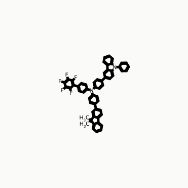 CC1(C)c2ccccc2-c2ccc(-c3ccc(N(c4ccc(-c5ccc6c(c5)c5ccccc5n6-c5ccccc5)cc4)c4ccc(-c5c(F)c(F)c(F)c(F)c5F)cc4)cc3)cc21